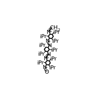 C=C=Nc1c(C(C)C)cc(C(C)C)c(N=C=Nc2c(C(C)C)cc(C(C)C)c(N=C=Nc3c(C(C)C)cc(C(C)C)c(N=C=O)c3C(C)C)c2C(C)C)c1C(C)C